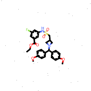 CCOC(=O)c1cc(F)cc(NS(=O)(=O)CC2CN(C(c3ccc(OC)cc3)c3ccc(OC)cc3)C2)c1